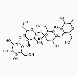 CC1OC(CO)[C@@H](O[C@@H]2OC(CO)[C@@](O)(O[C@@H]3OC(CO)[C@@H](O[C@@H]4OC(CO)[C@H](O)[C@H](O)C4O)[C@H](O)C3N)CC2O)[C@H](O)C1O